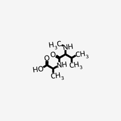 CNC(C(=O)NC(C)C(=O)O)C(C)C